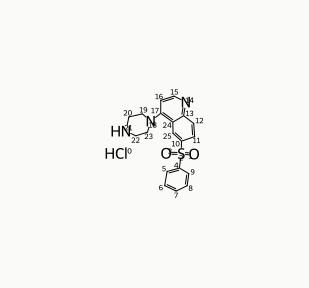 Cl.O=S(=O)(c1ccccc1)c1ccc2nccc(N3CCNCC3)c2c1